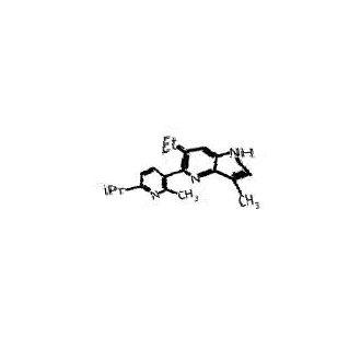 CCc1cc2[nH]cc(C)c2nc1-c1ccc(C(C)C)nc1C